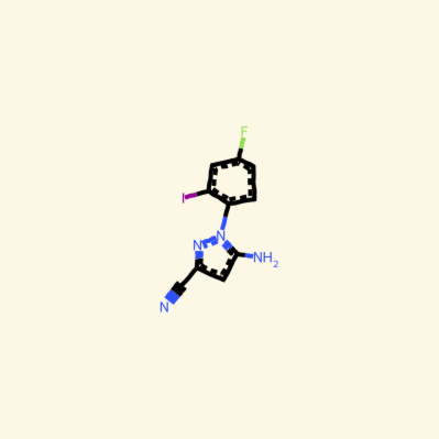 N#Cc1cc(N)n(-c2ccc(F)cc2I)n1